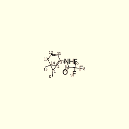 CC1C2=C(NC(=O)C(F)(F)F)C=CCC21C